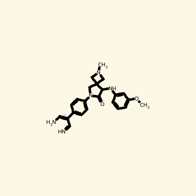 COc1cccc(NC2C(=O)N(c3ccc(/C(C=N)=C/N)cc3)CC23CN(C)C3)c1